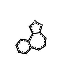 c1ccc2c3cnnc-3cccc2c1